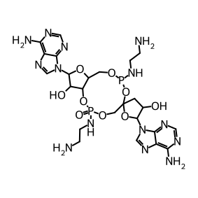 NCCNP1OCC2OC(n3cnc4c(N)ncnc43)C(O)C2OP(=O)(NCCN)OCC2(CC(O)C(n3cnc4c(N)ncnc43)O2)O1